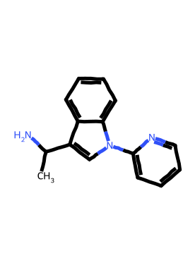 CC(N)c1cn(-c2ccccn2)c2ccccc12